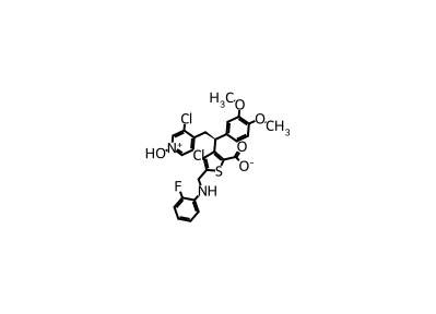 COc1ccc([C@H](Cc2c(Cl)c[n+](O)cc2Cl)c2cc(CNc3ccccc3F)sc2C(=O)[O-])cc1OC